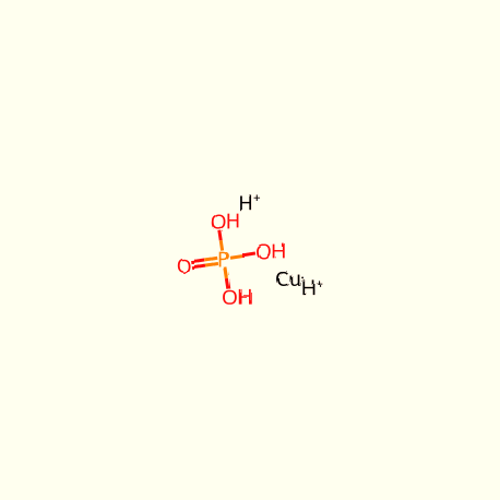 O=P(O)(O)O.[Cu].[H+].[H+]